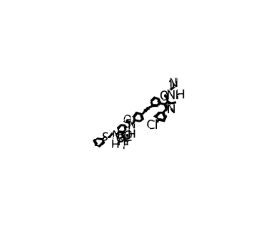 Cc1c(C(=O)NCCN(C)C)c(-c2cccc(C#Cc3ccc(N[S+]([O-])c4ccc(NCCSc5ccccc5)c(S(=O)(=O)C(F)(F)F)c4)cc3)c2)c(-c2ccc(Cl)cc2)n1C